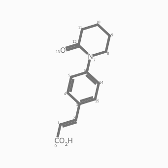 O=C(O)C=Cc1ccc(N2CCCCC2=O)cc1